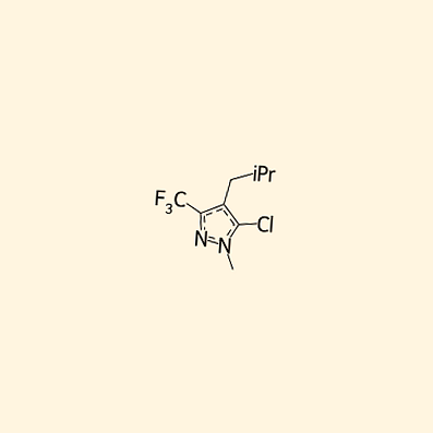 CC(C)Cc1c(C(F)(F)F)nn(C)c1Cl